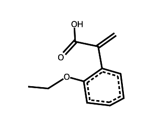 C=C(C(=O)O)c1ccccc1OCC